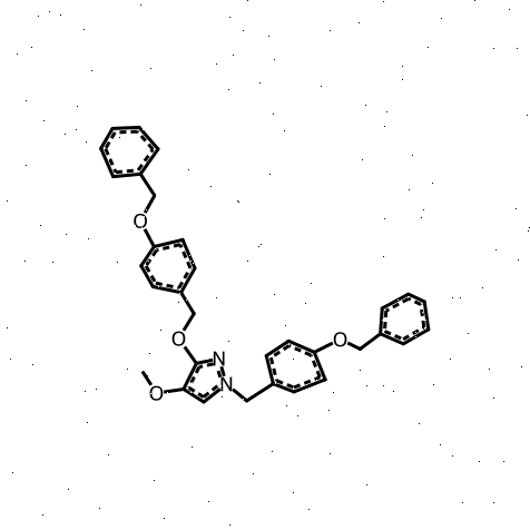 COc1cn(Cc2ccc(OCc3ccccc3)cc2)nc1OCc1ccc(OCc2ccccc2)cc1